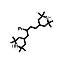 CC(C)C(CCC1CC(C)(C)NC(C)(C)C1)CC1CC(C)(C)NC(C)(C)C1